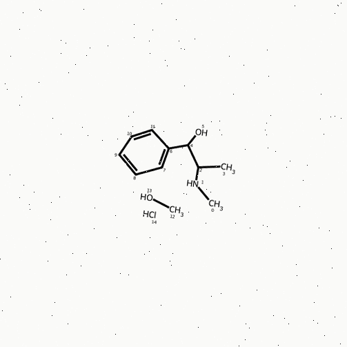 CNC(C)C(O)c1ccccc1.CO.Cl